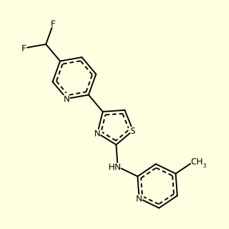 Cc1ccnc(Nc2nc(-c3ccc(C(F)F)cn3)cs2)c1